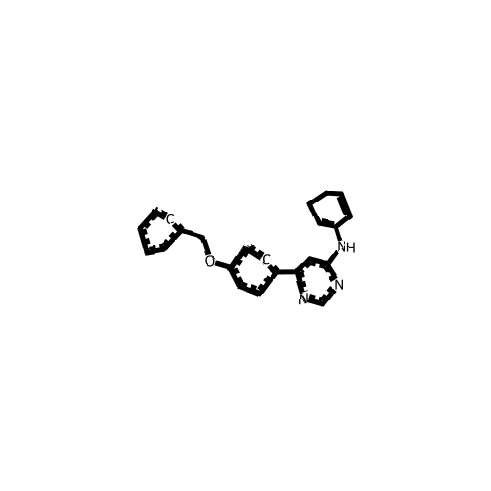 [CH]1C=CC(Nc2cc(-c3ccc(OCc4ccccc4)cc3)ncn2)=CC1